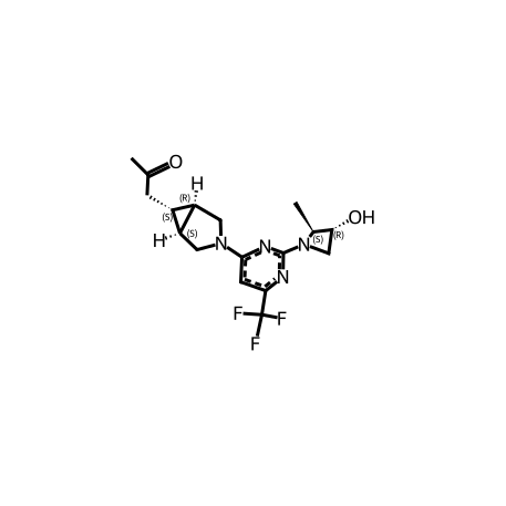 CC(=O)C[C@@H]1[C@H]2CN(c3cc(C(F)(F)F)nc(N4C[C@@H](O)[C@@H]4C)n3)C[C@@H]12